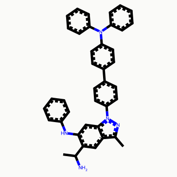 Cc1nn(-c2ccc(-c3ccc(N(c4ccccc4)c4ccccc4)cc3)cc2)c2cc(Nc3ccccc3)c(C(C)N)cc12